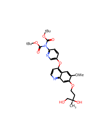 COc1cc2c(Oc3ccc(N(C(=O)OC(C)(C)C)C(=O)OC(C)(C)C)nc3)ccnc2cc1OCC[C@](C)(O)CO